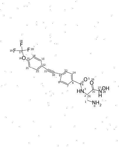 NC[C@H](NC(=O)c1ccc(C#Cc2ccc(OC(F)(F)F)cc2)cc1)C(=O)NO